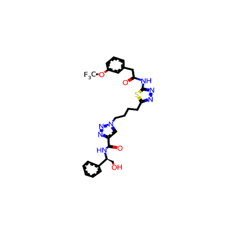 O=C(Cc1cccc(OC(F)(F)F)c1)Nc1nnc(CCCCn2cc(C(=O)N[C@@H](CO)c3ccccc3)nn2)s1